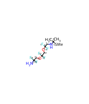 CSC(C)(C)NCC(F)(F)OCC(F)(F)OCC(N)(F)F